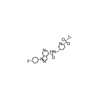 O=C(NCc1ccc(S(=O)(=O)C2CC2)nc1)c1cncc2c1cnn2-c1ccc(F)cc1